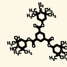 CN1C(C)(C)CC(OC(=O)C2CC(C(=O)OC3CC(C)(C)N(O)C(C)(C)C3)CC(C(=O)OC3CC(C)(C)N(O)C(C)(C)C3)C2)CC1(C)C